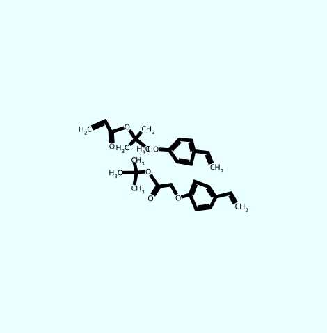 C=CC(=O)OC(C)(C)C.C=Cc1ccc(O)cc1.C=Cc1ccc(OCC(=O)OC(C)(C)C)cc1